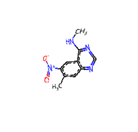 CNc1ncnc2cc(C)c([N+](=O)[O-])cc12